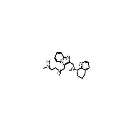 CNCCN(C)Cc1c(CN(C)C2CCCc3cccnc32)nc2ccccn12